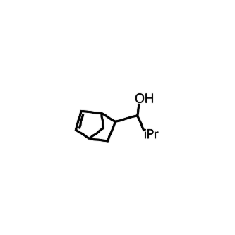 CC(C)C(O)C1CC2C=CC1C2